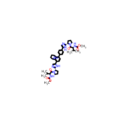 COC(=O)NC(C(=O)N1CCC[C@H]1c1ncc(-c2ccc(-c3ccc(-c4cnc([C@@H]5CCCN5C(=O)[C@@H](NC(=O)OC)C(C)C)[nH]4)cc3)c3c2C2CCC3N2)[nH]1)C(C)C